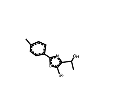 Cc1ccc(-c2nc(C(C)O)c(C(C)C)o2)cc1